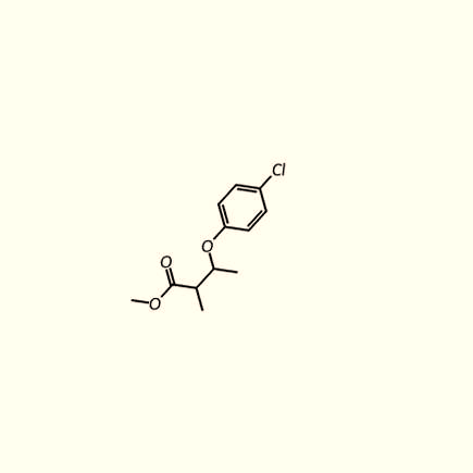 COC(=O)C(C)C(C)Oc1ccc(Cl)cc1